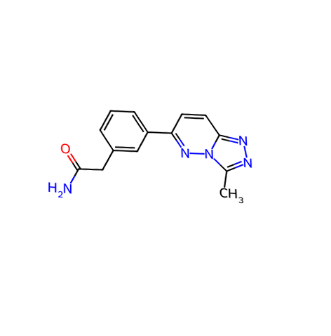 Cc1nnc2ccc(-c3cccc(CC(N)=O)c3)nn12